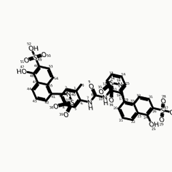 Cc1c2ccc(c1NC(=O)Nc1c3ccc(c1C)N(c1cccc4c(O)c(S(=O)(=O)O)ccc14)S3(=O)=O)S(=O)(=O)N2c1cccc2c(O)c(S(=O)(=O)O)ccc12